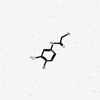 Cc1cc(NC(=O)CBr)ccc1Br